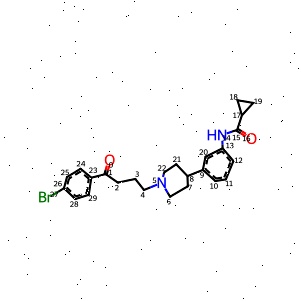 O=C(CCCN1CCC(c2cccc(NC(=O)C3CC3)c2)CC1)c1ccc(Br)cc1